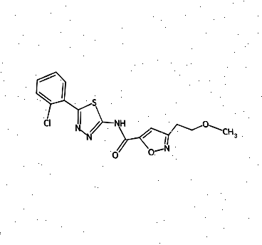 COCCc1cc(C(=O)Nc2nnc(-c3ccccc3Cl)s2)on1